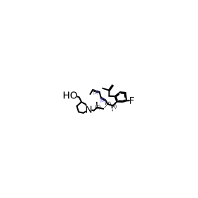 C=C(C)Cc1ccc(F)cc1[C@H](C)[C@@H](/C=C/C=C\C)C[C@H](C)CN1CCCC(CO)C1